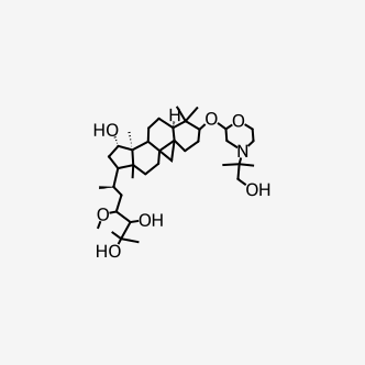 COC(C[C@@H](C)C1C[C@H](O)[C@@]2(C)C3CC[C@H]4C(C)(C)C(OC5CN(C(C)(C)CO)CCO5)CCC45CC35CCC12C)C(O)C(C)(C)O